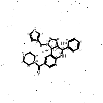 O=C(c1ccc2c(c1)[C@@H]1[C@@H](CCN1Cc1ccoc1)C(c1ccccc1)N2)N1CCOCC1